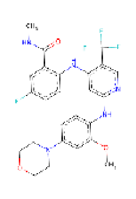 CNC(=O)c1cc(F)ccc1Nc1cc(Nc2ccc(N3CCOCC3)cc2OC)ncc1C(F)(F)F